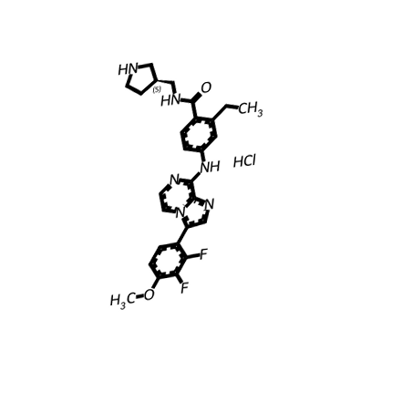 CCc1cc(Nc2nccn3c(-c4ccc(OC)c(F)c4F)cnc23)ccc1C(=O)NC[C@H]1CCNC1.Cl